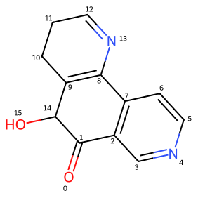 O=C1c2cnccc2C2=C(CCC=N2)C1O